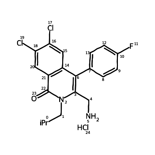 CC(C)Cn1c(CN)c(-c2ccc(F)cc2)c2cc(Cl)c(Cl)cc2c1=O.Cl